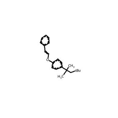 CC(C)(C)CC(C)(C)c1ccc(OC=Cc2ccccc2)cc1